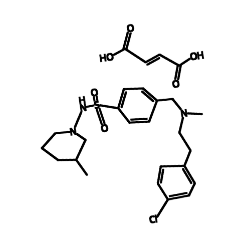 CC1CCCN(NS(=O)(=O)c2ccc(CN(C)CCc3ccc(Cl)cc3)cc2)C1.O=C(O)C=CC(=O)O